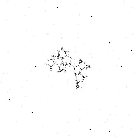 Cc1cnc(C(C)C(C)SNc2nnc(C3CCCO3)n2-c2c(F)cccc2F)nc1